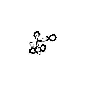 CC1(COCC(CN(c2ccccc2)c2c(Cl)cccc2Cl)N2CCCC2)CCCCC1